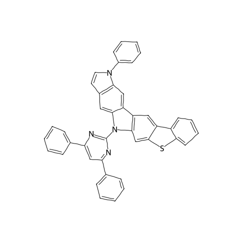 c1ccc(-c2cc(-c3ccccc3)nc(-n3c4cc5ccn(-c6ccccc6)c5cc4c4cc5c(cc43)sc3ccccc35)n2)cc1